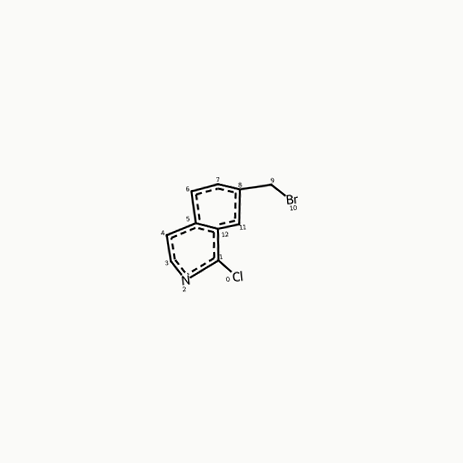 Clc1nccc2ccc(CBr)cc12